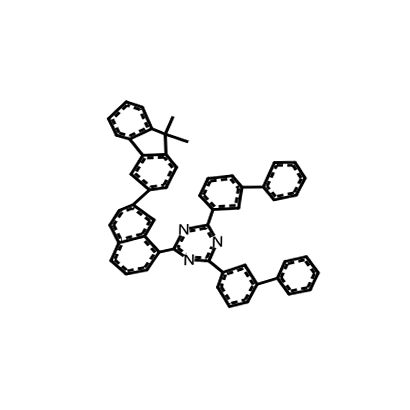 CC1(C)c2ccccc2-c2cc(-c3ccc4cccc(-c5nc(-c6cccc(-c7ccccc7)c6)nc(-c6cccc(-c7ccccc7)c6)n5)c4c3)ccc21